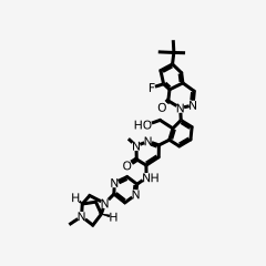 CN1C[C@@H]2C[C@H]1CN2c1cnc(Nc2cc(-c3cccc(-n4ncc5cc(C(C)(C)C)cc(F)c5c4=O)c3CO)nn(C)c2=O)cn1